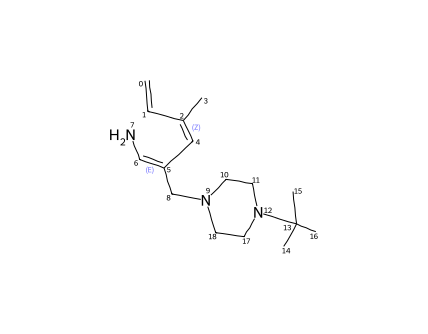 C=C/C(C)=C\C(=C/N)CN1CCN(C(C)(C)C)CC1